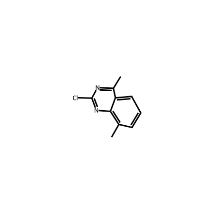 Cc1nc(Cl)nc2c(C)cccc12